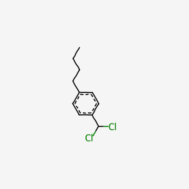 CCCCc1ccc(C(Cl)Cl)cc1